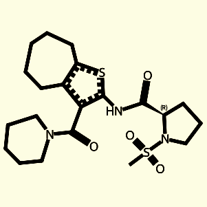 CS(=O)(=O)N1CCC[C@@H]1C(=O)Nc1sc2c(c1C(=O)N1CCCCC1)CCCCC2